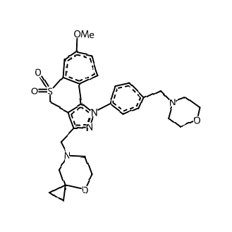 COc1ccc2c(c1)S(=O)(=O)Cc1c(CN3CCOC4(CC4)C3)nn(-c3ccc(CN4CCOCC4)cc3)c1-2